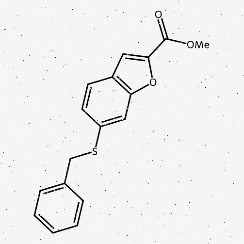 COC(=O)c1cc2ccc(SCc3ccccc3)cc2o1